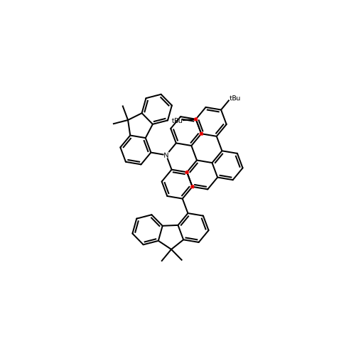 CC(C)(C)c1cc(-c2cccc3cccc(-c4ccccc4N(c4ccc(-c5cccc6c5-c5ccccc5C6(C)C)cc4)c4cccc5c4-c4ccccc4C5(C)C)c23)cc(C(C)(C)C)c1